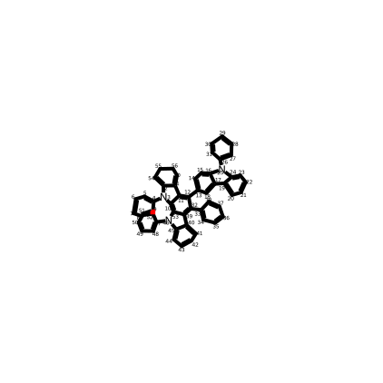 C1=c2c(n(-c3ccccc3)c3c2c(-c2ccc4c(c2)c2ccccc2n4-c2ccccc2)c(-c2ccccc2)c2c4ccccc4n(-c4ccccc4)c23)=CCC1